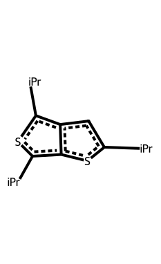 CC(C)c1cc2c(C(C)C)sc(C(C)C)c2s1